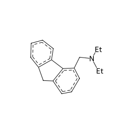 CCN(CC)Cc1cccc2c1-c1ccccc1C2